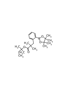 CCC(C)(C)OC(=O)C(C)(C)Cc1ccccc1B1OC(C)(C)C(C)(C)O1